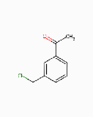 CC(=O)c1cccc(CCl)c1